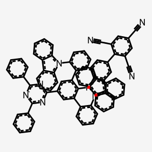 N#Cc1cc(C#N)c(-c2ccc3c(c2)c2ccccc2n3-c2c(-c3ccccc3-n3c4ccccc4c4ccccc43)cc(-c3nc(-c4ccccc4)nc(-c4ccccc4)n3)cc2-c2ccccc2-n2c3ccccc3c3ccccc32)c(C#N)c1